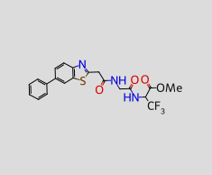 COC(=O)C(NC(=O)CNC(=O)Cc1nc2ccc(-c3ccccc3)cc2s1)C(F)(F)F